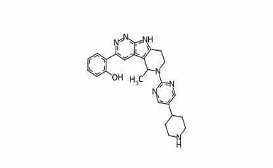 CC1c2c([nH]c3nnc(-c4ccccc4O)cc23)CCN1c1ncc(C2CCNCC2)cn1